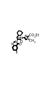 CCOC(=O)c1nc(NC(=O)C(CC2CCCCC2)n2cnc3ccc(F)cc3c2=O)cn1C